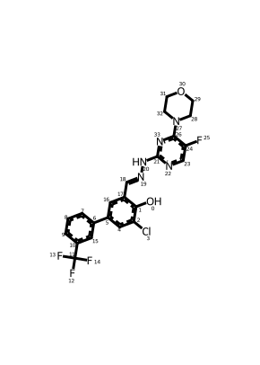 Oc1c(Cl)cc(-c2cccc(C(F)(F)F)c2)cc1/C=N/Nc1ncc(F)c(N2CCOCC2)n1